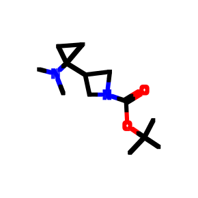 CN(C)C1(C2CN(C(=O)OC(C)(C)C)C2)CC1